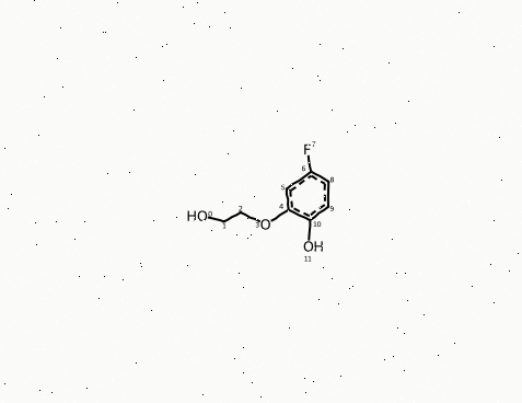 OCCOc1cc(F)ccc1O